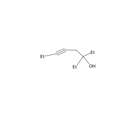 [CH2]CC#CCC(O)(CC)CC